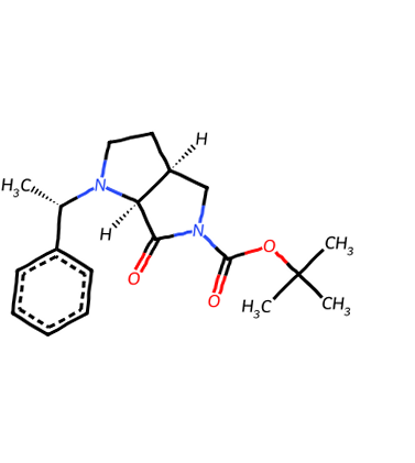 C[C@@H](c1ccccc1)N1CC[C@H]2CN(C(=O)OC(C)(C)C)C(=O)[C@H]21